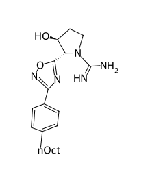 CCCCCCCCc1ccc(-c2noc([C@@H]3[C@@H](O)CCN3C(=N)N)n2)cc1